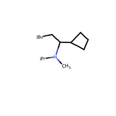 CCC(C)CC(C1CCC1)N(C)C(C)C